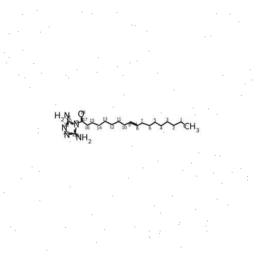 CCCCCCCCC=CCCCCCCCC(=O)n1c(N)nnc1N